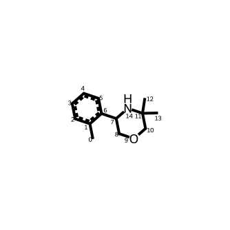 Cc1ccccc1C1COCC(C)(C)N1